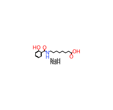 O=C(O)CCCCCCCNC(=O)c1ccccc1O.[NaH].[NaH]